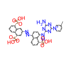 Cc1ccc[n+](-c2nc(N)nc(Nc3ccc(N=Nc4cc(S(=O)(=O)O)c5cccc(S(=O)(=O)O)c5c4)c4cccc(S(=O)(=O)O)c34)n2)c1